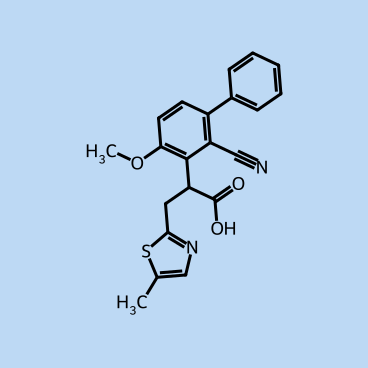 COc1ccc(-c2ccccc2)c(C#N)c1C(Cc1ncc(C)s1)C(=O)O